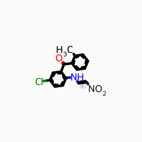 Cc1ccccc1C(=O)c1cc(Cl)ccc1N/C=C/[N+](=O)[O-]